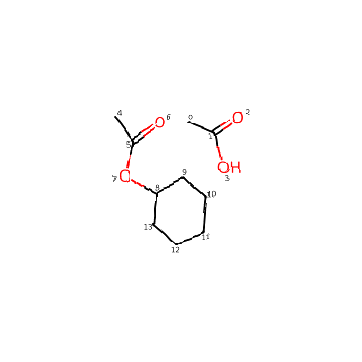 CC(=O)O.CC(=O)OC1CCCCC1